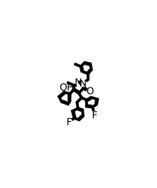 Cc1cccc(Cn2nc(C)c(-c3ccccc3O)c(C(Cc3cccc(F)c3)c3cccc(F)c3)c2=O)c1